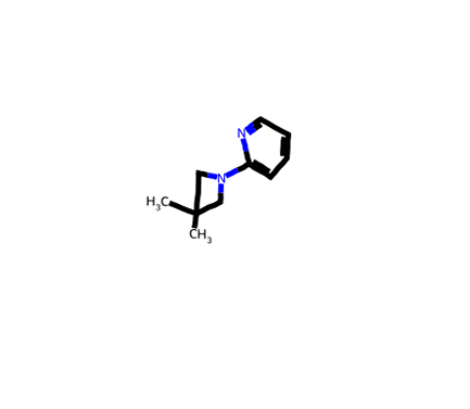 CC1(C)CN(c2ccccn2)C1